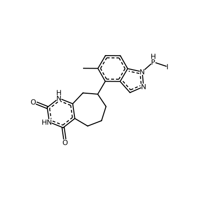 Cc1ccc2c(cnn2PI)c1C1CCCc2c([nH]c(=O)[nH]c2=O)C1